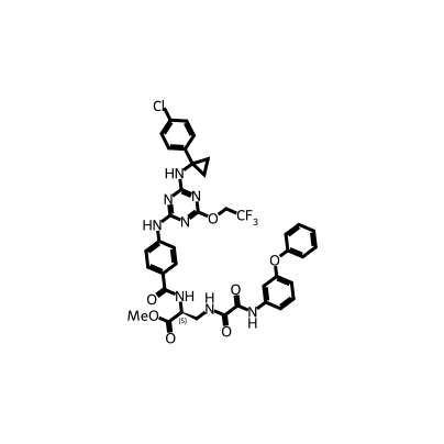 COC(=O)[C@H](CNC(=O)C(=O)Nc1cccc(Oc2ccccc2)c1)NC(=O)c1ccc(Nc2nc(NC3(c4ccc(Cl)cc4)CC3)nc(OCC(F)(F)F)n2)cc1